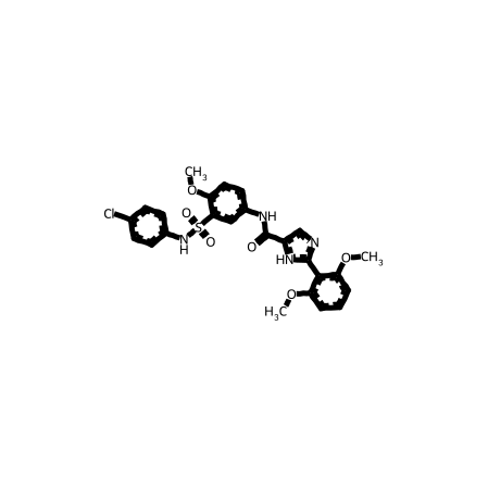 COc1ccc(NC(=O)c2cnc(-c3c(OC)cccc3OC)[nH]2)cc1S(=O)(=O)Nc1ccc(Cl)cc1